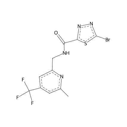 Cc1cc(C(F)(F)F)cc(CNC(=O)c2nnc(Br)s2)n1